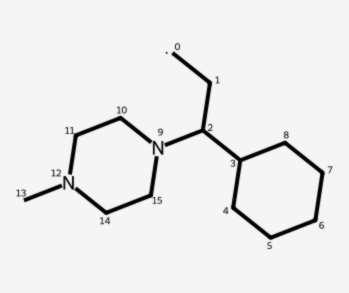 [CH2]CC(C1CCCCC1)N1CCN(C)CC1